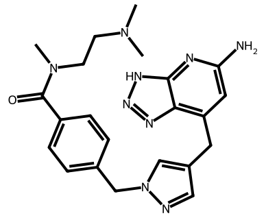 CN(C)CCN(C)C(=O)c1ccc(Cn2cc(Cc3cc(N)nc4[nH]nnc34)cn2)cc1